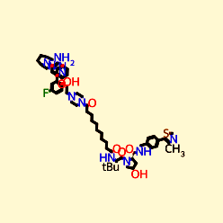 Cc1ncsc1-c1ccc(CNC(=O)[C@@H]2C[C@@H](O)CN2C(=O)C(NC(=O)CCCCCCCCCC(=O)N2CCN(CCOc3cccc(N4CC5CCC(C4)N5c4cc(-c5cc(F)ccc5O)nnc4N)c3)CC2)C(C)(C)C)cc1